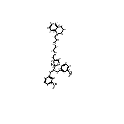 COc1cccc(CN(Cc2cccc(OC)c2)c2nc(COCCOCCN3CCCc4ccccc43)co2)c1